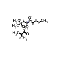 C=C(C)C(=O)OO/C(C[N+](C)(C)C)=[P+](/[O-])CCCC